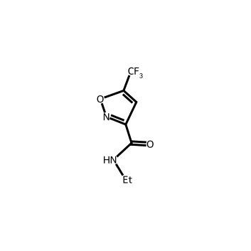 CCNC(=O)c1cc(C(F)(F)F)on1